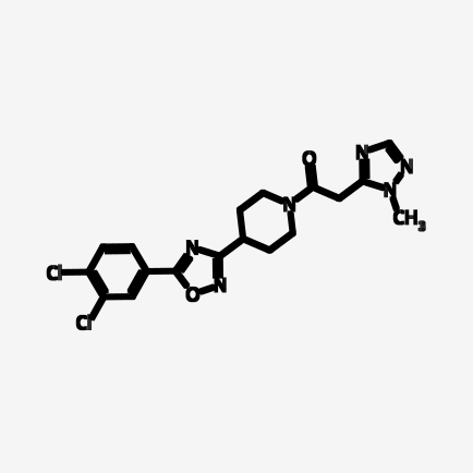 Cn1ncnc1CC(=O)N1CCC(c2noc(-c3ccc(Cl)c(Cl)c3)n2)CC1